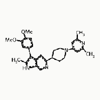 COc1ccc(-c2c(C)[nH]c3cnc(C4CCN(c5cc(C)nc(C)c5)CC4)cc23)cc1OC